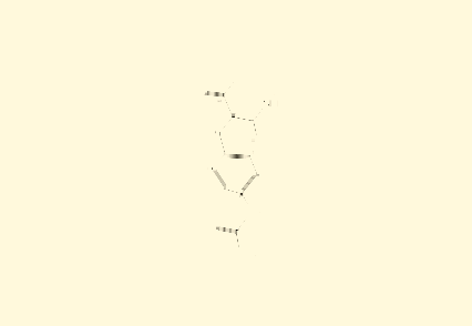 CC(=O)Oc1ccc(CC(C(=O)O)C(N)F)cc1